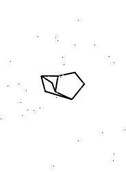 C1CC2C3CC1C2C3